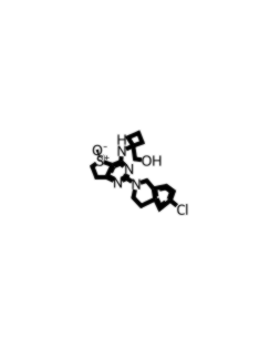 [O-][S@+]1CCc2nc(N3CCc4cc(Cl)ccc4C3)nc(NC3(CO)CCC3)c21